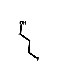 O[CH]CCF